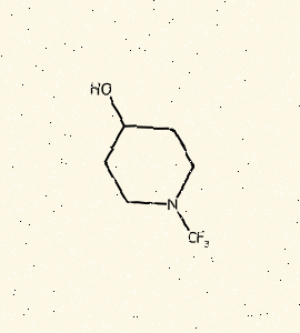 OC1CCN(C(F)(F)F)CC1